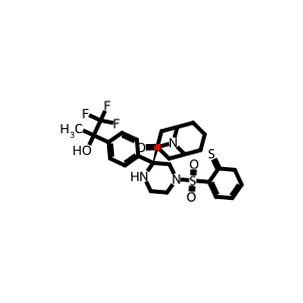 CC(O)(c1ccc([C@]2(CN3C4CCCC3CC(=O)C4)CN(S(=O)(=O)C3=CC=CCC3=S)CCN2)cc1)C(F)(F)F